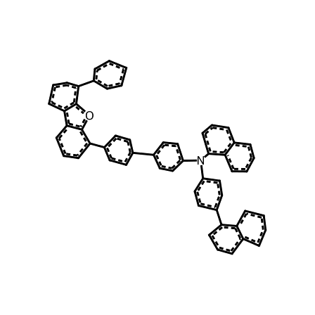 c1ccc(-c2cccc3c2oc2c(-c4ccc(-c5ccc(N(c6ccc(-c7cccc8ccccc78)cc6)c6cccc7ccccc67)cc5)cc4)cccc23)cc1